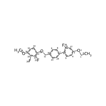 CCOc1ccc(-c2ccc(COc3ccc(OC)c(F)c3F)cc2)c(F)c1